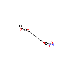 O=C1C=C(c2ccc(OCCCCCCCCCCCCCCCCCCOc3ccc(C=CC(=O)c4ccccc4)cc3)cc2)C(=O)N1